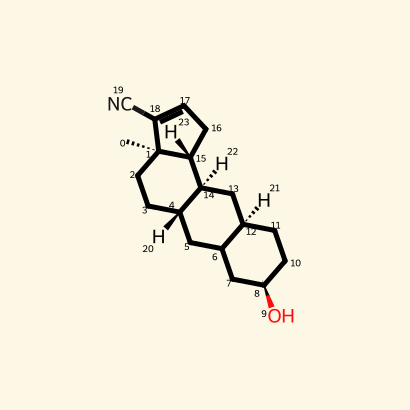 C[C@@]12CC[C@H]3CC4C[C@H](O)CC[C@@H]4C[C@@H]3[C@H]1CC=C2C#N